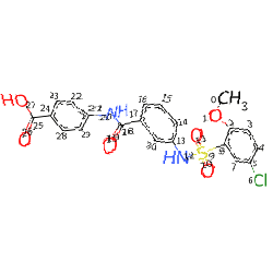 COc1ccc(Cl)cc1S(=O)(=O)Nc1cccc(C(=O)Nc2ccc(C(=O)O)cc2)c1